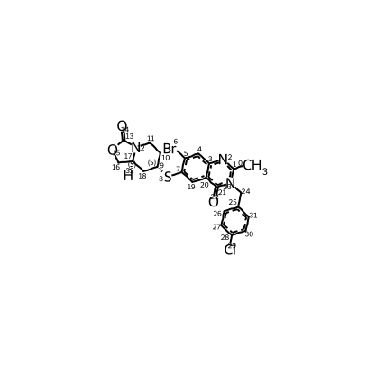 Cc1nc2cc(Br)c(S[C@H]3CCN4C(=O)OC[C@@H]4C3)cc2c(=O)n1Cc1ccc(Cl)cc1